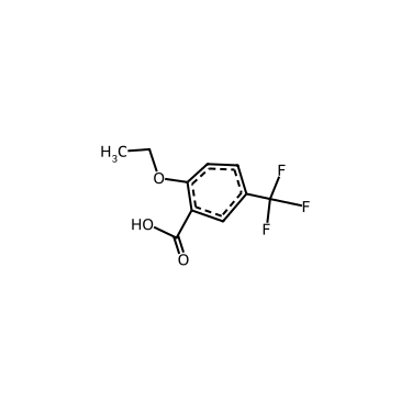 CCOc1ccc(C(F)(F)F)cc1C(=O)O